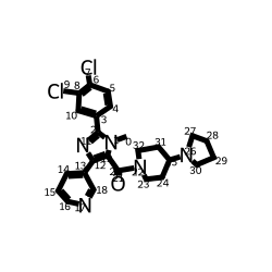 Cn1c(-c2ccc(Cl)c(Cl)c2)nc(-c2cccnc2)c1C(=O)N1CCC(N2CCCC2)CC1